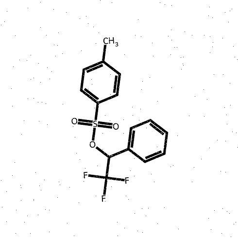 Cc1ccc(S(=O)(=O)OC(c2ccccc2)C(F)(F)F)cc1